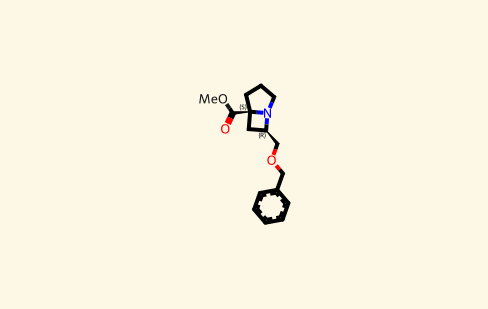 COC(=O)[C@@]12CCCN1[C@@H](COCc1ccccc1)C2